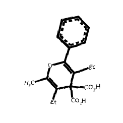 CCC1=C(C)OC(c2ccccc2)=C(CC)C1(C(=O)O)C(=O)O